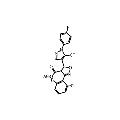 COC(=O)C1C(c2c(F)cccc2Cl)=NOC1c1cnn(-c2ccc(F)cc2)c1C(F)(F)F